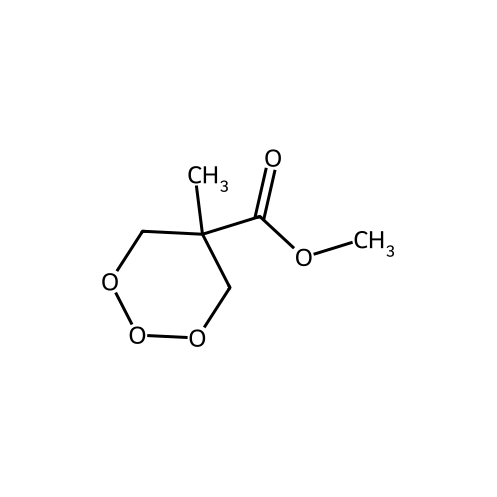 COC(=O)C1(C)COOOC1